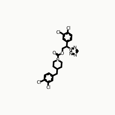 O=C(OCC(c1ccc(Cl)c(Cl)c1)n1ncnn1)N1CCC(Cc2ccc(Cl)c(Cl)c2)CC1